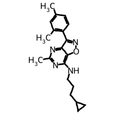 Cc1ccc(-c2noc3c(NCCCC4CC4)nc(C)nc23)c(C)c1